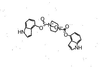 O=S(Oc1cccc2[nH]ccc12)[N+]12CC[N+](S(=O)Oc3cccc4[nH]ccc34)(CC1)CC2